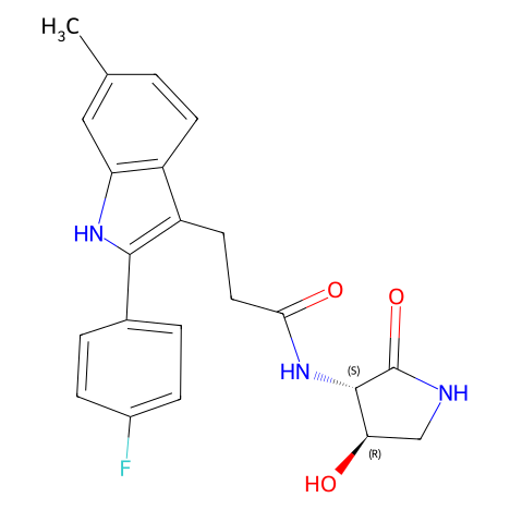 Cc1ccc2c(CCC(=O)N[C@@H]3C(=O)NC[C@H]3O)c(-c3ccc(F)cc3)[nH]c2c1